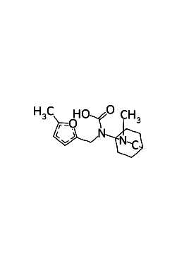 Cc1ccc(CN(C(=O)O)C23CCC(CC2)CN3C)o1